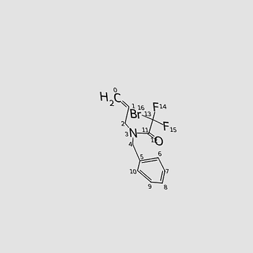 C=CCN(Cc1ccccc1)C(=O)C(F)(F)Br